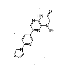 CC(C)N1CC(=O)Nc2ncc(-c3ccc(N4C=CSC4)nc3)nc21